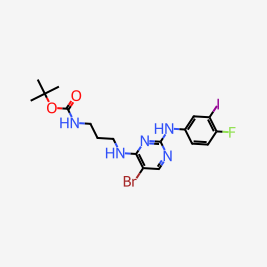 CC(C)(C)OC(=O)NCCCNc1nc(Nc2ccc(F)c(I)c2)ncc1Br